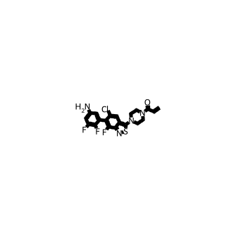 C=CC(=O)N1CCN(c2snc3c(F)c(-c4cc(N)cc(F)c4F)c(Cl)cc23)CC1